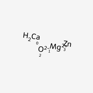 [CaH2].[Mg+2].[O-2].[Zn]